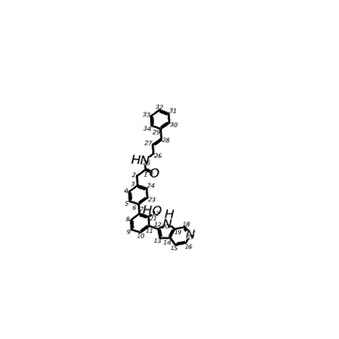 O=C(Cc1ccc(-c2cccc(-c3cc4ccncc4[nH]3)c2O)cc1)NCC=Cc1ccccc1